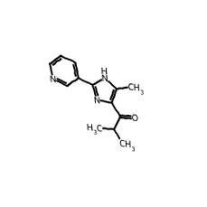 Cc1[nH]c(-c2cccnc2)nc1C(=O)C(C)C